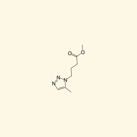 COC(=O)CCCn1nncc1C